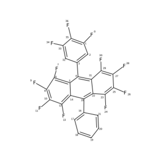 Fc1cc(-c2c3c(F)c(F)c(F)c(F)c3c(-c3ccccc3)c3c(F)c(F)c(F)c(F)c23)cc(F)c1F